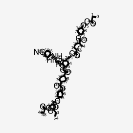 C=CC(=O)OCOc1ccc(OC(=O)C2CCC(C(=O)OCCc3ccc(OC(=O)C4CCC(C(=O)Oc5ccc(OCC(COC(=O)C=C)OC(=O)C=C)cc5)CC4)c4nc(NNc5ccc(C#N)cc5)sc34)CC2)cc1